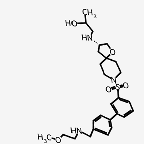 COCCNCc1ccc(-c2cccc(S(=O)(=O)N3CCC4(CC3)C[C@H](NCC(C)O)CO4)c2)cc1